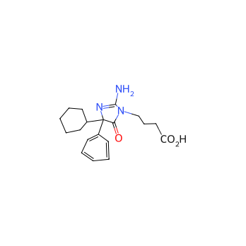 NC1=NC(c2ccccc2)(C2CCCCC2)C(=O)N1CCCC(=O)O